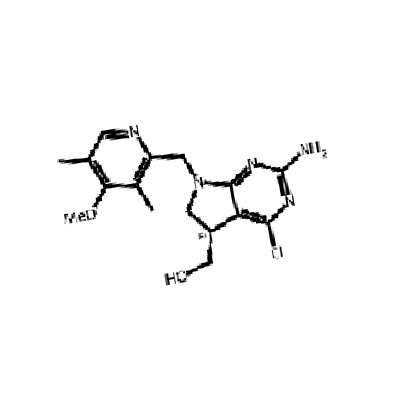 COc1c(C)cnc(CN2C[C@H](CO)c3c(Cl)nc(N)nc32)c1C